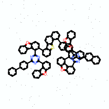 c1ccc(-c2ccc(-c3nc(-c4cccc5oc6ccccc6c45)nc(-c4c(-c5cccc6sc7c(ccc8cccc(-c9ccc%10c(c9)oc9c%11ccccc%11cc(-c%11cccc%12oc%13cccc(-c%14nc(-c%15ccc%16ccccc%16c%15)nc(-c%15ccc%16oc%17ccccc%17c%16c%15)n%14)c%13c%11%12)c%109)c87)c56)ccc5oc6ccccc6c45)n3)cc2)cc1